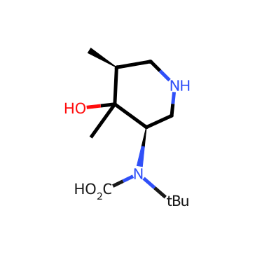 C[C@H]1CNC[C@@H](N(C(=O)O)C(C)(C)C)C1(C)O